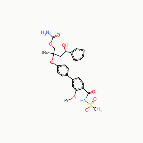 CC(C)Oc1cc(-c2ccc(OC(COC(N)=O)(C[C@@H](O)c3ccccc3)C(C)(C)C)cc2)ccc1C(=O)NS(C)(=O)=O